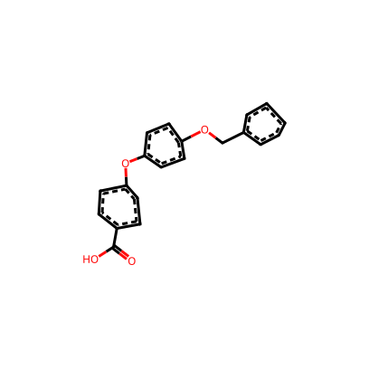 O=C(O)c1ccc(Oc2ccc(OCc3ccccc3)cc2)cc1